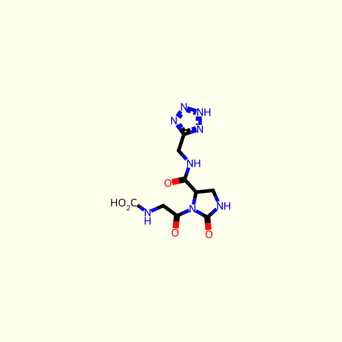 O=C(O)NCC(=O)N1C(=O)NCC1C(=O)NCc1nn[nH]n1